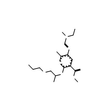 CCCOCC(C)Oc1nc(C)c(/N=C/N(C)CC)cc1C(=O)OC